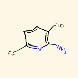 Nc1nc(C(F)(F)F)ccc1C=O